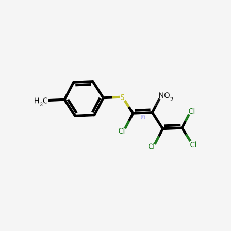 Cc1ccc(S/C(Cl)=C(/C(Cl)=C(Cl)Cl)[N+](=O)[O-])cc1